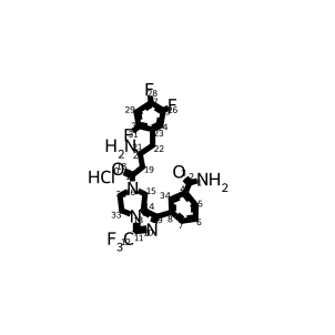 Cl.NC(=O)c1cccc(-c2nc(C(F)(F)F)n3c2CN(C(=O)C[C@H](N)Cc2cc(F)c(F)cc2F)CC3)c1